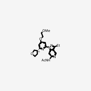 CCc1nn(-c2cc(OCCOC)cc([C@@H]3CCOC3)n2)c2cc(NC(C)=O)ncc12